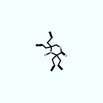 C=CCC1(CC=C)COC(=O)C(CC=C)(CC=C)N1[O]